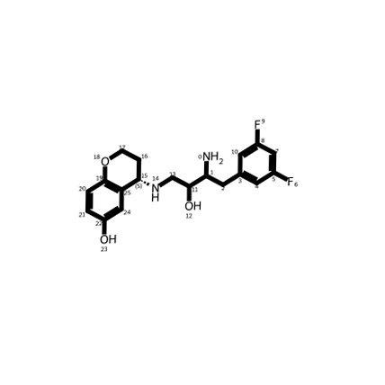 NC(Cc1cc(F)cc(F)c1)C(O)CN[C@H]1CCOc2ccc(O)cc21